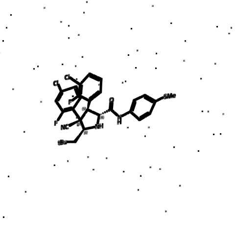 CSc1ccc(NC(=O)[C@@H]2N[C@@H](CC(C)(C)C)[C@](C#N)(c3ccc(Cl)cc3F)[C@H]2c2cccc(Cl)c2F)cc1